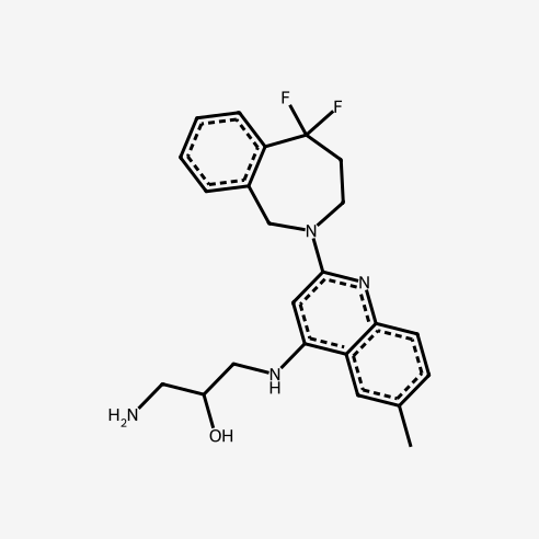 Cc1ccc2nc(N3CCC(F)(F)c4ccccc4C3)cc(NCC(O)CN)c2c1